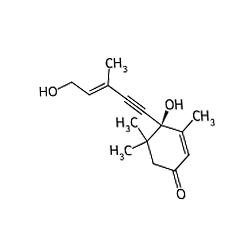 CC(C#C[C@]1(O)C(C)=CC(=O)CC1(C)C)=CCO